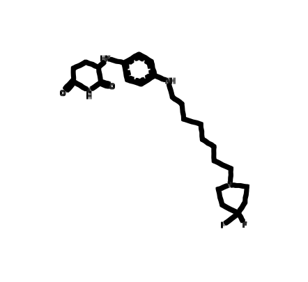 O=C1CCC(Nc2ccc(NCCCCCCCCN3CCC(F)(F)CC3)cc2)C(=O)N1